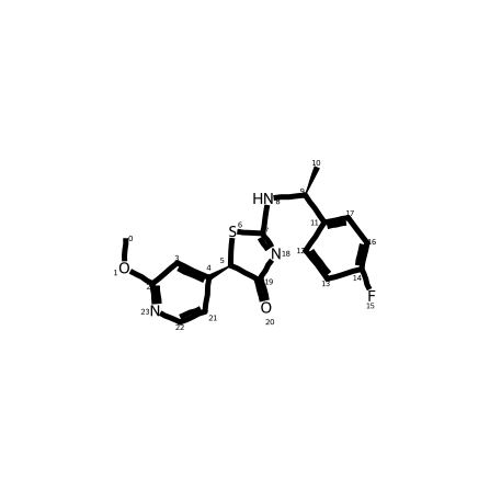 COc1cc([C@H]2SC(N[C@@H](C)c3ccc(F)cc3)=NC2=O)ccn1